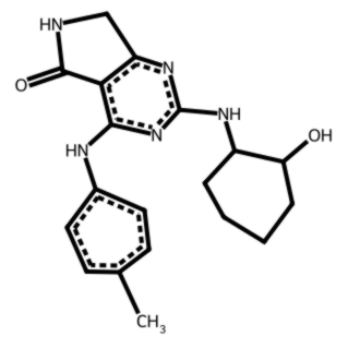 Cc1ccc(Nc2nc(NC3CCCCC3O)nc3c2C(=O)NC3)cc1